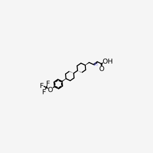 O=C(O)/C=C/C[C@H]1CC[C@H]([C@H]2CC[C@H](c3ccc(OC(F)(F)F)cc3)CC2)CC1